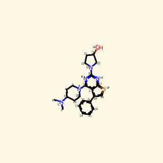 CN(C)C1CCN(c2nc(N3CCC(O)C3)nc3scc(-c4ccccc4)c23)CC1